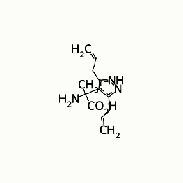 C=CCc1n[nH]c(CC=C)c1C(C)(N)C(=O)O